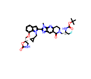 Cn1c(-c2cc3cccc(OC[C@@H]4CNC(=O)O4)c3n2CC2CC2)nc2cc3c(nc21)CCN(C[C@@H](CF)NC(=O)OC(C)(C)C)C3=O